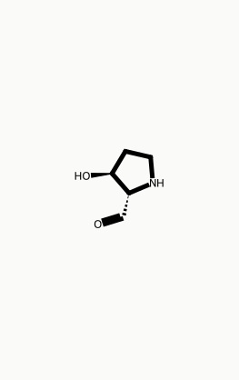 O=C[C@H]1NCC[C@@H]1O